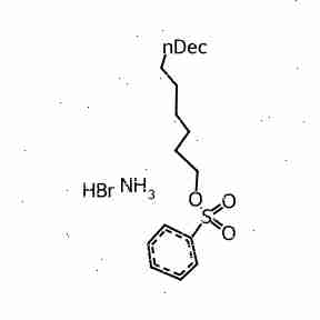 Br.CCCCCCCCCCCCCCCCOS(=O)(=O)c1ccccc1.N